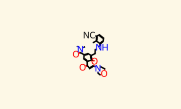 Cc1c(C#N)cccc1NCCc1cc(C(=O)N(C)C)cc2c(=O)cc(N3CCOCC3)oc12